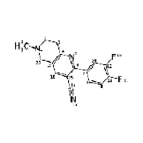 CN1CCc2nc(-c3ccc(F)c(F)c3)c(C#N)cc2C1